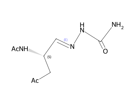 CC(=O)C[C@@H](/C=N/NC(N)=O)NC(C)=O